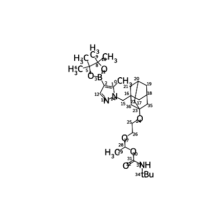 Cc1c(B2OC(C)(C)C(C)(C)O2)cnn1CC12CC3CC(C1)CC(OCCOC(C)OC(=O)NC(C)(C)C)(C3)C2